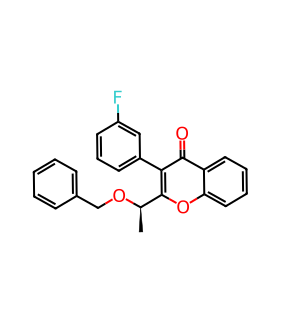 C[C@@H](OCc1ccccc1)c1oc2ccccc2c(=O)c1-c1cccc(F)c1